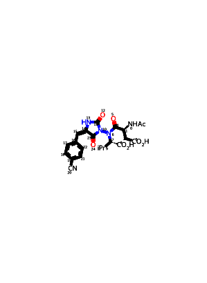 CC(=O)N[C@@H](CC(=O)O)C(=O)N([C@H](C(=O)O)C(C)C)N1C(=O)NC(=Cc2ccc(C#N)cc2)C1=O